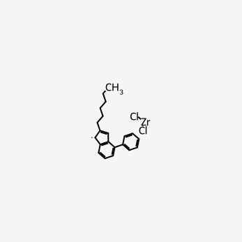 CCCCCCC1=Cc2c(cccc2-c2ccccc2)[CH]1.[Cl][Zr][Cl]